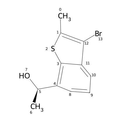 Cc1sc2c([C@@H](C)O)cccc2c1Br